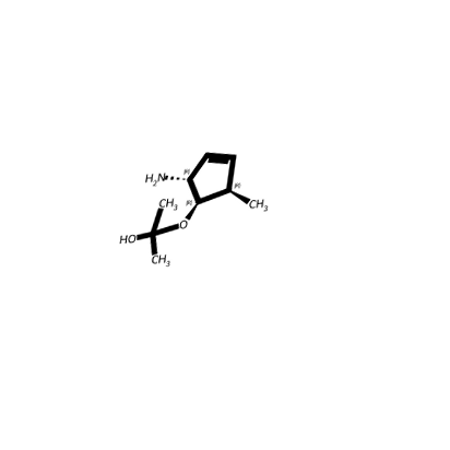 C[C@@H]1C=C[C@@H](N)[C@@H]1OC(C)(C)O